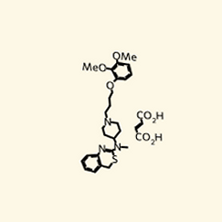 COc1cccc(OCCCCN2CCC(N(C)C3=Nc4ccccc4CS3)CC2)c1OC.O=C(O)/C=C/C(=O)O